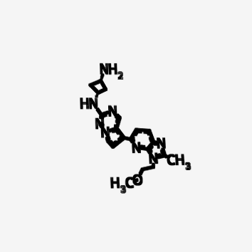 COCCn1c(C)nc2ccc(-c3ccn4nc(N[C@H]5C[C@H](N)C5)ncc34)nc21